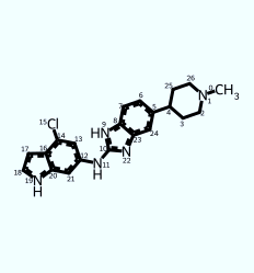 CN1CCC(c2ccc3[nH]c(Nc4cc(Cl)c5cc[nH]c5c4)nc3c2)CC1